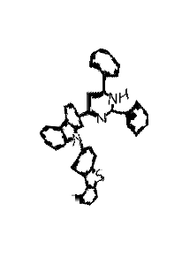 C1=C(c2ccccc2)NC(c2ccccc2)N=C1c1ccc2c3ccccc3n(-c3ccc4sc5ccccc5c4c3)c2c1